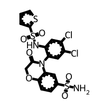 NS(=O)(=O)c1ccc2c(c1)N(c1cc(Cl)c(Cl)cc1NS(=O)(=O)c1cccs1)C(=O)CO2